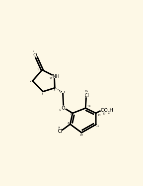 O=C1CC[C@@H](COc2c(Cl)ccc(C(=O)O)c2Cl)N1